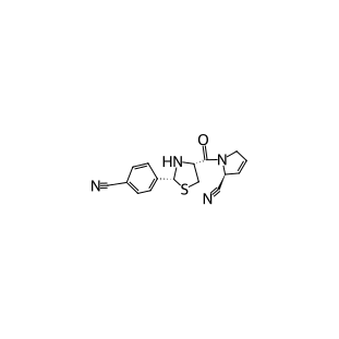 N#Cc1ccc([C@@H]2N[C@H](C(=O)N3CC=C[C@H]3C#N)CS2)cc1